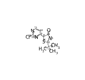 CC(C)(C)C1=NC(=O)C(c2ccnc(Cl)n2)S1